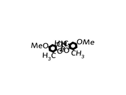 COc1cc(C)c(OBOc2c(C)cc(OC)cc2C)c(C)c1